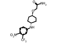 NC(=O)CO[C@H]1CC[C@H](Nc2ccc([N+](=O)[O-])c(C(F)(F)F)c2)CC1